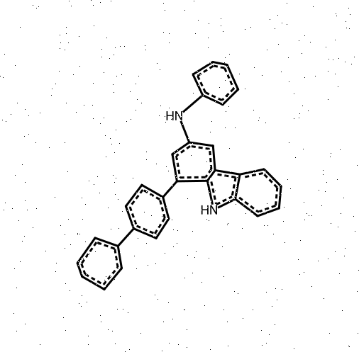 c1ccc(Nc2cc(-c3ccc(-c4ccccc4)cc3)c3[nH]c4ccccc4c3c2)cc1